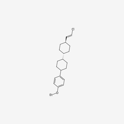 CCOc1ccc(C2CCC([C@H]3CC[C@H](/C=C/Cl)CC3)CC2)cc1